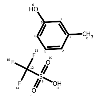 Cc1cccc(O)c1.O=S(=O)(O)C(F)(F)F